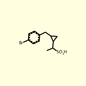 CC(C1CC1Cc1ccc(Br)cc1)S(=O)(=O)O